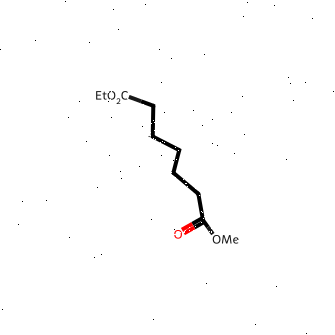 CCOC(=O)C[CH]CCCC(=O)OC